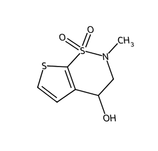 CN1CC(O)c2ccsc2S1(=O)=O